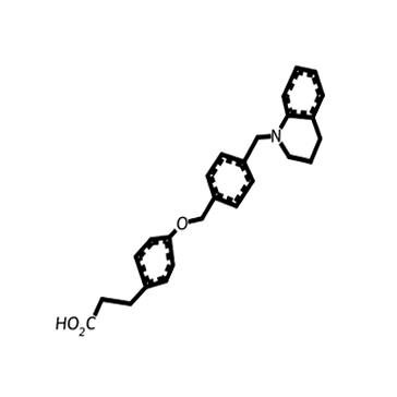 O=C(O)CCc1ccc(OCc2ccc(CN3CCCc4ccccc43)cc2)cc1